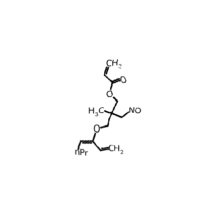 C=CC(=O)OCC(C)(CN=O)CO/C(C=C)=C/CCC